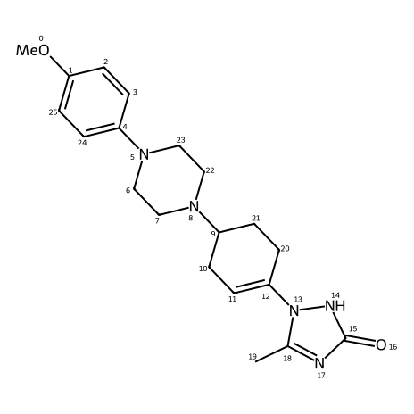 COc1ccc(N2CCN(C3CC=C(n4[nH]c(=O)nc4C)CC3)CC2)cc1